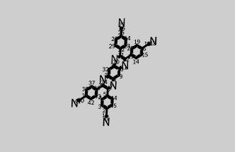 N#Cc1ccc(-c2nc3cc4nc(-c5ccc(C#N)cc5)c(-c5ccc(C#N)cc5)nc4cc3nc2-c2ccc(C#N)cc2)cc1